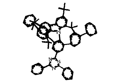 CC(C)(C)c1cc(C(C)(C)C)c2c(c1)c1cc(C(C)(C)C)cc3c1n2-c1c(-c2ccc(-c4ccccc4)cc2)cc(-c2nc(-c4ccccc4)nc(-c4ccccc4)n2)cc1-c1ccc(-c2ccccc2)c(c1)C3(C)C